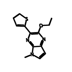 CCOc1nc2ccn(C)c2nc1C1=CCCS1